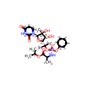 [2H]C([2H])(O[P@](=O)(NC(C)C(=O)OC(C)C)Oc1ccccc1)[C@@H]1O[C@@H](n2ccc(=O)[nH]c2=O)[C@](C)(O)[C@@H]1O